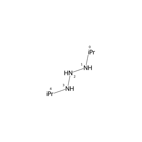 CC(C)NNNC(C)C